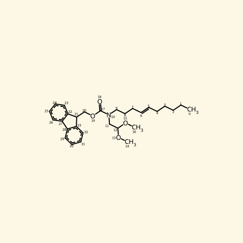 CCCCCC=CCCCN(CC(OC)OC)C(=O)OCC1c2ccccc2-c2ccccc21